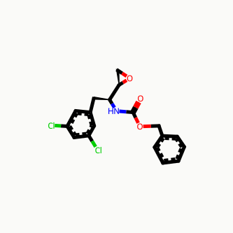 O=C(N[C@@H](Cc1cc(Cl)cc(Cl)c1)[C@H]1CO1)OCc1ccccc1